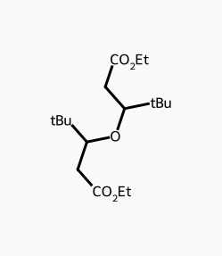 CCOC(=O)CC(OC(CC(=O)OCC)C(C)(C)C)C(C)(C)C